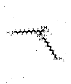 CCCCCCCCCCCCC(C(=O)OC(=O)CCCCCCCCCCC)C(C)C